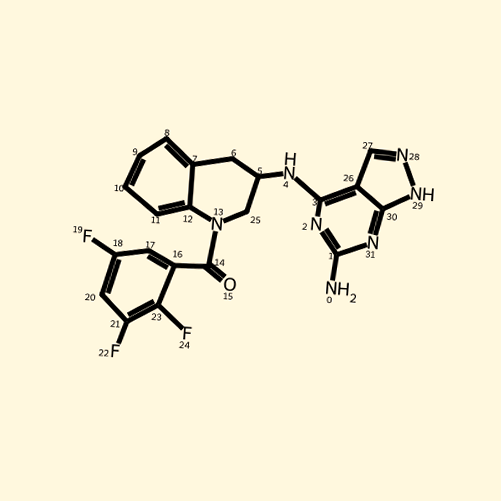 Nc1nc(NC2Cc3ccccc3N(C(=O)c3cc(F)cc(F)c3F)C2)c2cn[nH]c2n1